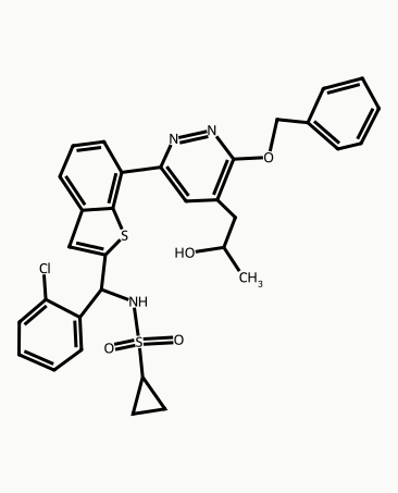 CC(O)Cc1cc(-c2cccc3cc(C(NS(=O)(=O)C4CC4)c4ccccc4Cl)sc23)nnc1OCc1ccccc1